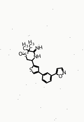 CC1(C)C(=N)NC(c2cc(-c3cccc(-c4ccno4)c3)cs2)C[S+]1[O-]